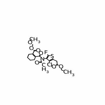 CCOC(=O)Cc1sc(F)c(N(C(C)=O)C(=O)C2=C(C(=O)OCOC)CCCC2)c1Cl